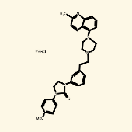 COc1ccc(N2CCN(c3cccc(CCN4CCN(c5cccc6nc(C)ccc56)CC4)c3)C2=O)cc1.Cl.Cl